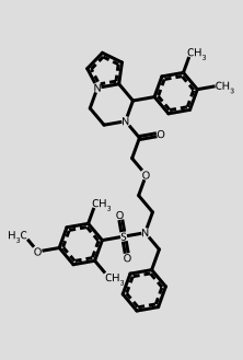 COc1cc(C)c(S(=O)(=O)N(CCOCC(=O)N2CCn3cccc3C2c2ccc(C)c(C)c2)Cc2ccccc2)c(C)c1